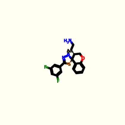 CC(=O)N1N=C(c2cc(F)cc(F)c2)S[C@]12c1ccccc1OC[C@H]2CCN